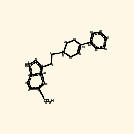 O=C(O)c1ccc2[nH]cc(CCN3CC=C(c4ccccc4)CC3)c2c1